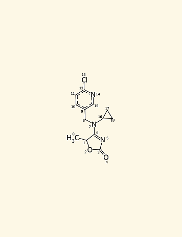 CC1OC(=O)N=C1N(Cc1ccc(Cl)nc1)C1CC1